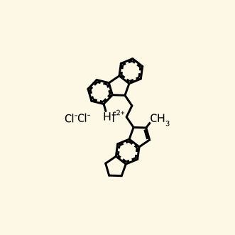 CC1=Cc2cc3c(cc2C1CCC1c2ccccc2-c2ccc[c]([Hf+2])c21)CCC3.[Cl-].[Cl-]